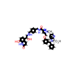 Cn1nc(C(=O)NCc2ccc(CNC[C@H](O)c3ccc(O)c4[nH]c(=O)ccc34)cc2)cc1COc1cccc([C@H](c2ccccc2)N(C(=O)O)[C@H]2CN3CCC2CC3)c1